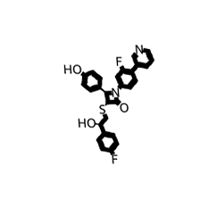 O=C1[C@H](SC[C@@H](O)c2ccc(F)cc2)[C@@H](c2ccc(O)cc2)N1c1ccc(-c2cccnc2)c(F)c1